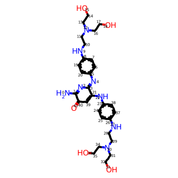 NC1=N/C(=N\c2ccc(NCCN(CCO)CCO)cc2)C(Nc2ccc(NCCN(CCO)CCO)cc2)=CC1=O